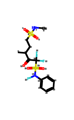 CC(CCS(=O)(=O)NC(C)(C)C)C(=O)C(F)(F)S(=O)(=O)N(F)c1ccccc1